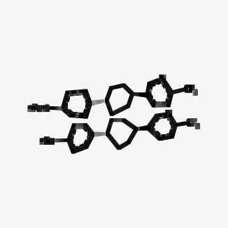 CCCCCc1ccc([C@H]2CC[C@H](c3ccc(C(F)(F)F)nc3)CC2)cc1.CCCCc1ccc([C@H]2CC[C@H](c3ccc(C(F)(F)F)nc3)CC2)cc1